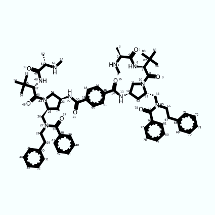 CN[C@@H](C)C(=O)N[C@H](C(=O)N1C[C@@H](NC(=O)c2ccc(C(=O)N[C@H]3C[C@@H](CN(CCc4ccccc4)C(=O)c4ccccc4)N(C(=O)[C@@H](NC(=O)[C@H](C)NC)C(C)(C)C)C3)cc2)C[C@H]1CN(CCc1ccccc1)C(=O)c1ccccc1)C(C)(C)C